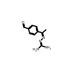 C/C(=N/N=C(N)N)c1ccc(C=O)cc1